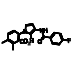 Cc1ccc(-n2ccc(NC(=O)c3ccc(F)cc3)c2C(=O)O)cc1C